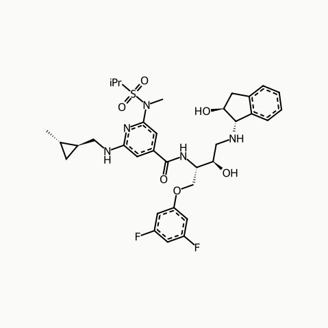 CC(C)S(=O)(=O)N(C)c1cc(C(=O)N[C@@H](COc2cc(F)cc(F)c2)[C@H](O)CN[C@H]2c3ccccc3C[C@@H]2O)cc(NC[C@H]2C[C@@H]2C)n1